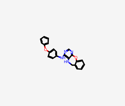 c1ccc(Oc2ccc(Nc3ncnc4c3NCc3ccccc3O4)cc2)cc1